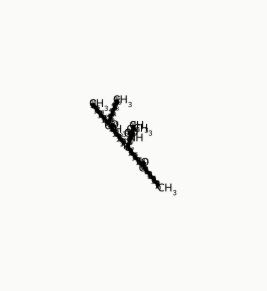 CCCCCCCCCOC(=O)CCCCCCCN(CCCCCCCC(=O)OC(CCCCCCCC)CCCCCCCC)CCNC(=O)OC(C)(C)C